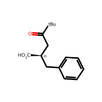 CC(C)(C)C(=O)C[C@@H](Cc1ccccc1)C(=O)O